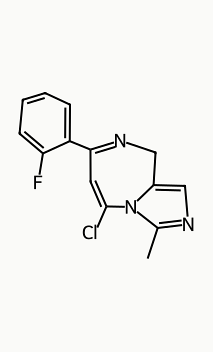 Cc1ncc2n1C(Cl)=CC(c1ccccc1F)=NC2